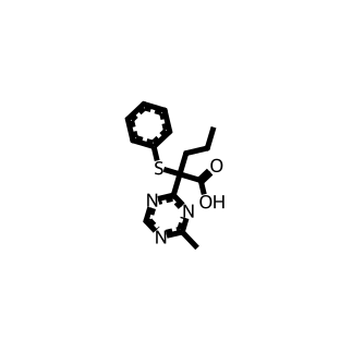 CCCC(Sc1ccccc1)(C(=O)O)c1ncnc(C)n1